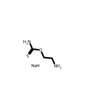 NCCOC(N)=S.[NaH]